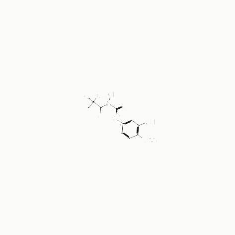 COc1ccc(NC(=O)N(C)C(Cl)C(C)(Cl)Cl)cc1C